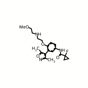 COCCNCCOc1ccc(NC(=O)C2(F)CC2)cc1-c1c(C)noc1C